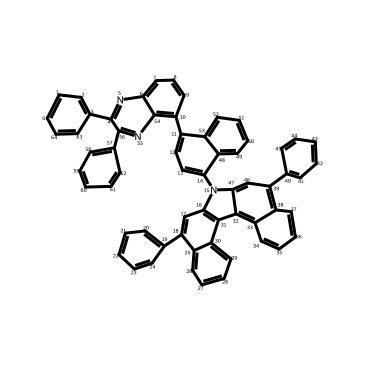 c1ccc(-c2nc3cccc(-c4ccc(-n5c6cc(-c7ccccc7)c7ccccc7c6c6c7ccccc7c(-c7ccccc7)cc65)c5ccccc45)c3nc2-c2ccccc2)cc1